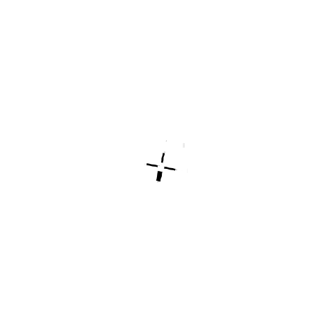 C.OP(O)(O)=S.[LiH]